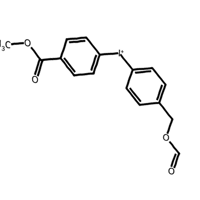 COC(=O)c1ccc([I+]c2ccc(COC=O)cc2)cc1